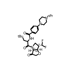 CCCN1CCN(c2ccc(C(=O)NC(CC(C)(C)C)C(=O)N3C[C@H](C(F)F)[C@H]4OCC(=O)[C@H]43)cc2)CC1